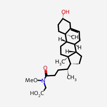 CON(CC(=O)O)C(=O)CC[C@@H](C)[C@H]1CC[C@H]2[C@@H]3CC=C4C[C@@H](O)CC[C@]4(C)[C@H]3CC[C@]12C